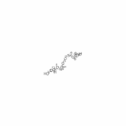 COc1ccc(C(=O)N2CCC(OC3CCC(OCc4ccc(-c5cc6c(-c7cc(F)cc(NC(=O)c8ccc(C(C)(C)O)cc8F)c7C)ncnc6[nH]5)cc4)CC3)CC2)cc1N1CCC(=O)NC1=O